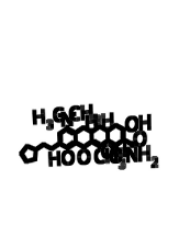 CC1=C2C(=O)c3c(O)c(CCC4CCCC4)cc(N(C)C)c3C[C@H]2C[C@H]2CC(O)=C(C(N)=O)C(=O)[C@@]12O